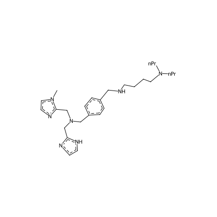 CCCN(CCC)CCCCNCc1ccc(CN(Cc2ncc[nH]2)Cc2nccn2C)cc1